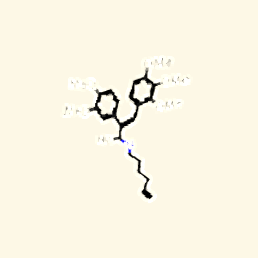 C=CCCCCN=C(C#N)C(=Cc1ccc(OC)c(OC)c1OC)c1ccc(OC)c(OC)c1